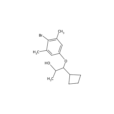 Cc1cc(OC(C(C)O)C2CCC2)cc(C)c1Br